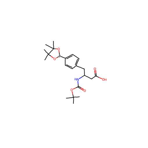 CC(C)(C)OC(=O)NC(CC(=O)O)Cc1ccc(B2OC(C)(C)C(C)(C)O2)cc1